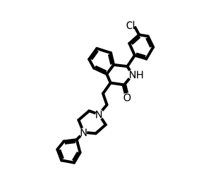 O=C1NC(c2cccc(Cl)c2)c2ccccc2C1CCN1CCN(c2ccccc2)CC1